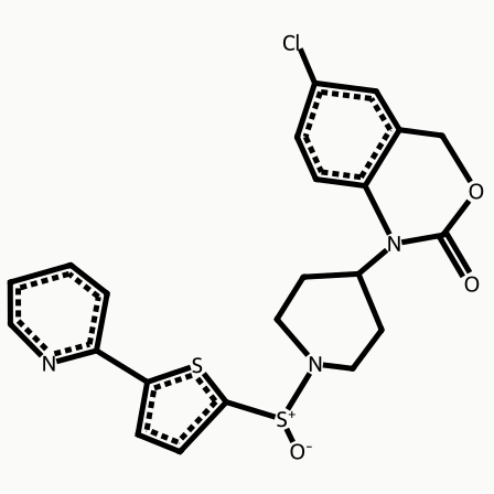 O=C1OCc2cc(Cl)ccc2N1C1CCN([S+]([O-])c2ccc(-c3ccccn3)s2)CC1